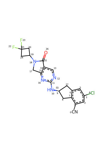 N#Cc1cc(Cl)cc2c1C[C@@H](Nc1ncc3c(n1)CN(C1CC(F)(F)C1)C3=O)C2